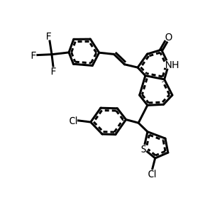 O=c1cc(C=Cc2ccc(C(F)(F)F)cc2)c2cc(C(c3ccc(Cl)cc3)c3ccc(Cl)s3)ccc2[nH]1